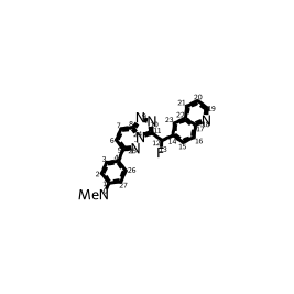 CNc1ccc(-c2ccc3nnc(C(F)c4ccc5ncccc5c4)n3n2)cc1